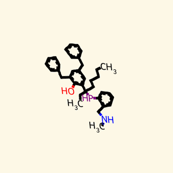 CCCCCC(CC)(Pc1ccccc1CNC)c1cc(Cc2ccccc2)cc(Cc2ccccc2)c1O